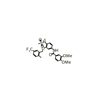 COc1ccc(C(=O)Nc2ccc(N(C)S(C)(=O)=O)c(OCc3cc(C(F)(F)F)ccc3C)c2)cc1OC